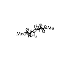 COC(=O)C(N)CSSCC(N)C(=O)OC